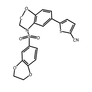 N#Cc1ccc(-c2ccc3c(c2)N(S(=O)(=O)c2ccc4c(c2)OCCO4)CCO3)s1